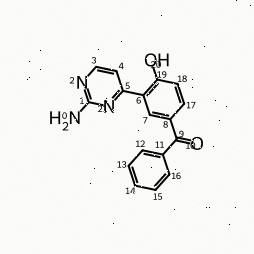 Nc1nccc(-c2cc(C(=O)c3ccccc3)ccc2O)n1